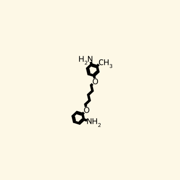 Cc1cc(OCCCCCOc2ccccc2N)ccc1N